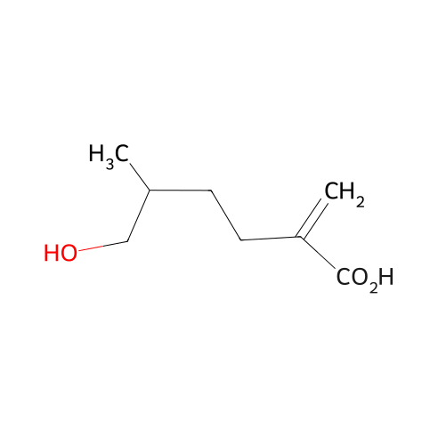 C=C(CCC(C)CO)C(=O)O